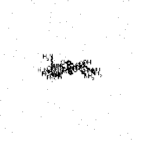 CC(NC(=O)[C@@H](NC(=O)[C@@H](N)CCCCN)C(O)CN)C(=O)NCC(=O)N[C@H](CCCN)C(=O)N1CCC[C@H]1C(=O)N[C@@H](Cc1ccc(Cl)cc1)C(=O)N[C@@H](CCCCN)C(=O)N/C(=C\CCNC(=N)N)C(=O)O